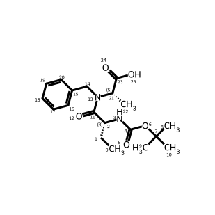 CC[C@@H](NC(=O)OC(C)(C)C)C(=O)N(Cc1ccccc1)[C@@H](C)C(=O)O